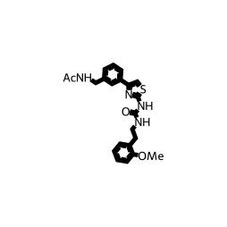 COc1ccccc1CCNC(=O)Nc1nc(-c2cccc(CNC(C)=O)c2)cs1